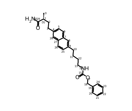 C[C@@H](CCc1ccc2cc(CCCCNC(=O)OCc3ccccc3)ccc2c1)C(N)=O